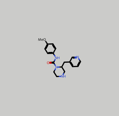 COc1ccc(NC(=O)N2CCNCC2Cc2cccnc2)cc1